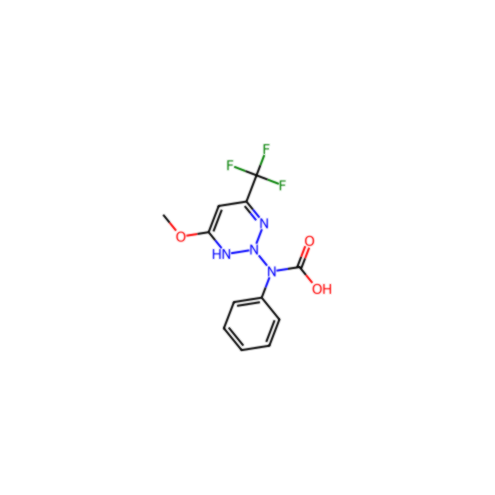 COC1=CC(C(F)(F)F)=NN(N(C(=O)O)c2ccccc2)N1